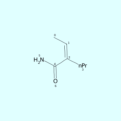 CC=C(CCC)C(N)=O